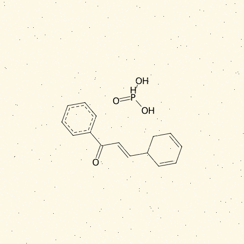 O=C(C=CC1C=CC=CC1)c1ccccc1.O=[PH](O)O